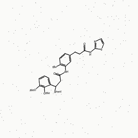 CCCCCC(CC(=O)Nc1cc(CCC(=O)Nc2nccs2)ccc1C(C)(C)C)c1cccc(OC)c1OC